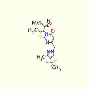 C=C(NC)c1c(C)sc2nc(Cn3cc(C(C)(F)F)c(C)n3)cc(=O)n12